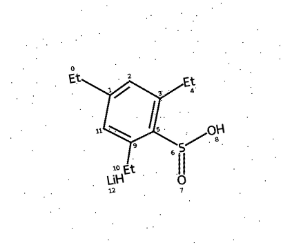 CCc1cc(CC)c(S(=O)O)c(CC)c1.[LiH]